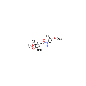 C=C(C)c1cc(CCC(=O)Nc2ccc(OCCCCCCCC)c(C)c2)cc(C(C)(C)C)c1O